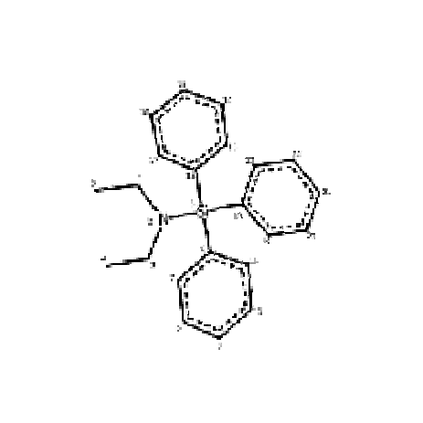 CCN(CC)[Si](c1ccccc1)(c1ccccc1)c1ccccc1